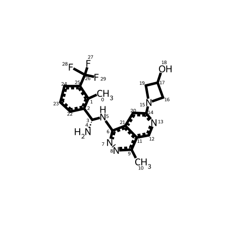 Cc1c([C@@H](N)Nc2nnc(C)c3cnc(N4CC(O)C4)cc23)cccc1C(F)(F)F